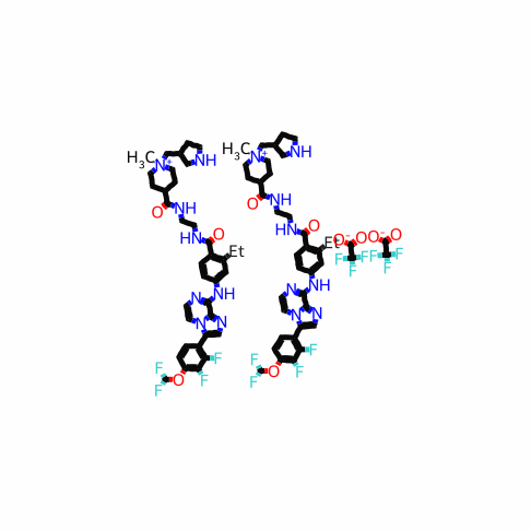 CCc1cc(Nc2nccn3c(-c4ccc(OC(F)F)c(F)c4F)cnc23)ccc1C(=O)NCCNC(=O)C1CC[N+](C)(CC2CCNC2)CC1.CCc1cc(Nc2nccn3c(-c4ccc(OC(F)F)c(F)c4F)cnc23)ccc1C(=O)NCCNC(=O)C1CC[N+](C)(CC2CCNC2)CC1.O=C([O-])C(F)(F)F.O=C([O-])C(F)(F)F